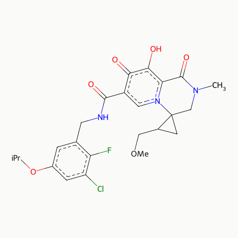 COCC1CC12CN(C)C(=O)c1c(O)c(=O)c(C(=O)NCc3cc(OC(C)C)cc(Cl)c3F)cn12